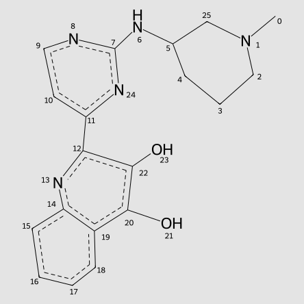 CN1CCCC(Nc2nccc(-c3nc4ccccc4c(O)c3O)n2)C1